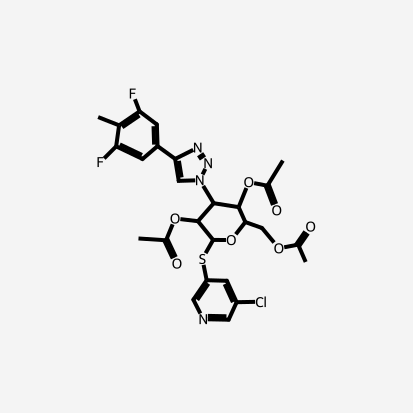 CC(=O)OCC1OC(Sc2cncc(Cl)c2)C(OC(C)=O)C(n2cc(-c3cc(F)c(C)c(F)c3)nn2)C1OC(C)=O